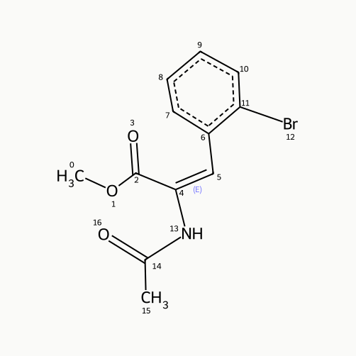 COC(=O)/C(=C\c1ccccc1Br)NC(C)=O